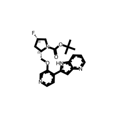 CC(C)(C)OC(=O)N1C[C@@H](F)C[C@H]1COc1cnccc1-c1cc2ncccc2[nH]1